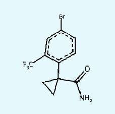 NC(=O)C1(c2ccc(Br)cc2C(F)(F)F)CC1